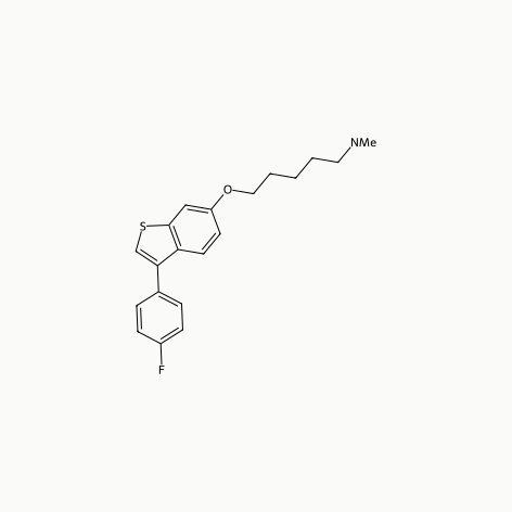 CNCCCCCOc1ccc2c(-c3ccc(F)cc3)csc2c1